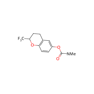 CNC(=O)Oc1ccc2c(c1)CCC(C(F)(F)F)O2